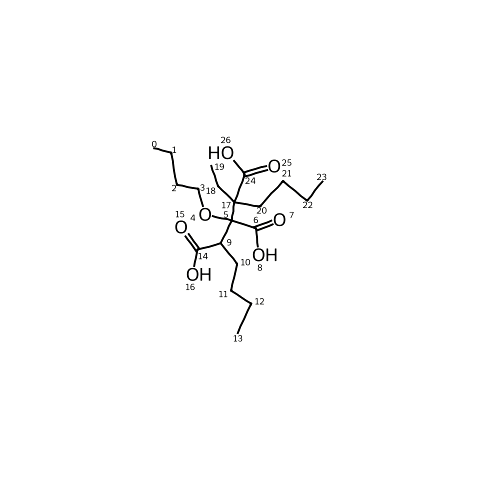 CCCCOC(C(=O)O)(C(CCCC)C(=O)O)C(CC)(CCCC)C(=O)O